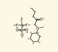 CCCC(=O)C[S+](C)C1CCCCC1.O=S(=O)([O-])C(F)(F)F